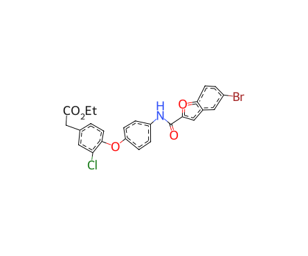 CCOC(=O)Cc1ccc(Oc2ccc(NC(=O)c3cc4cc(Br)ccc4o3)cc2)c(Cl)c1